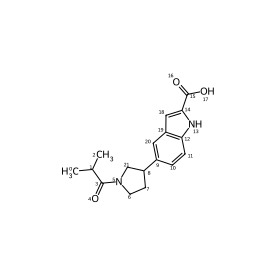 CC(C)C(=O)N1CCC(c2ccc3[nH]c(C(=O)O)cc3c2)C1